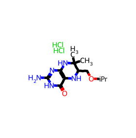 CC(C)OCC1Nc2c(nc(N)[nH]c2=O)NC1(C)C.Cl.Cl